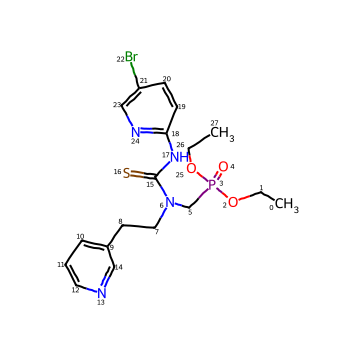 CCOP(=O)(CN(CCc1cccnc1)C(=S)Nc1ccc(Br)cn1)OCC